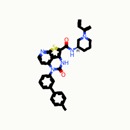 C=CC(=C)N1CCC[C@@H](NC(=O)c2sc3nccc4c3c2NC(=O)N4c2cccc(-c3ccc(C)cc3)c2)C1